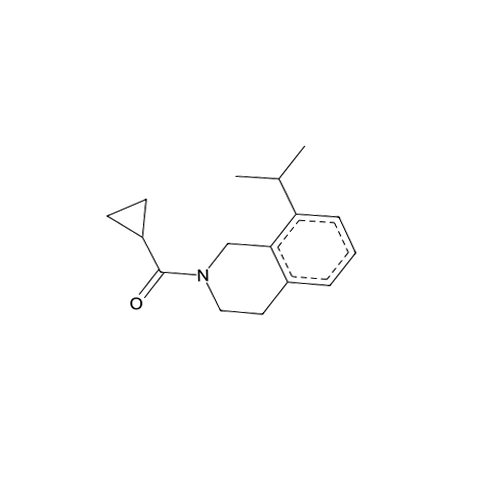 CC(C)c1cccc2c1CN(C(=O)C1CC1)CC2